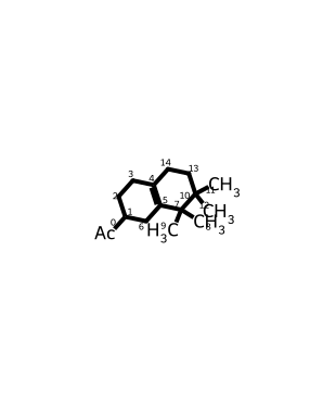 CC(=O)C1CCC2=C(C1)C(C)(C)C(C)(C)CC2